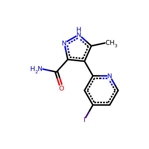 Cc1[nH]nc(C(N)=O)c1-c1cc(I)ccn1